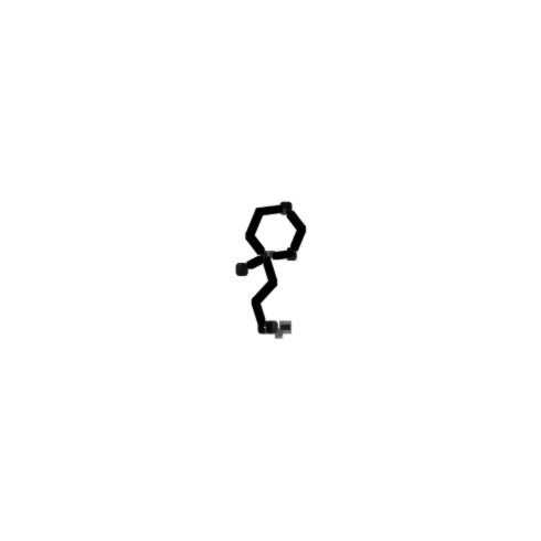 O=C(O)CC[N+]1([O-])CCOCS1